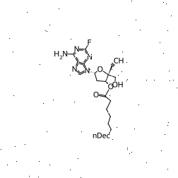 C#C[C@]1(CO)O[C@@H](n2cnc3c(N)nc(F)nc32)C[C@@H]1OC(=O)CCCCCCCCCCCCCCC